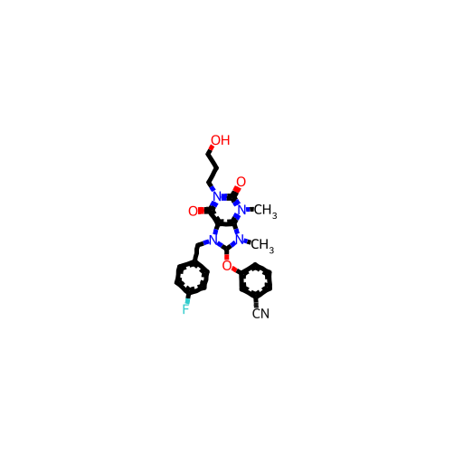 CN1c2c(c(=O)n(CCCO)c(=O)n2C)N(Cc2ccc(F)cc2)C1Oc1cccc(C#N)c1